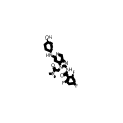 CN(C)C(=O)Cn1c(NC(=O)c2c(F)cc(F)cc2F)nc2cnc(N[C@H]3CC[C@H](O)CC3)cc21